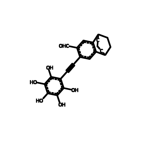 O=Cc1cc2c(cc1C#Cc1c(O)c(O)c(O)c(O)c1O)C1CCCC2CC1